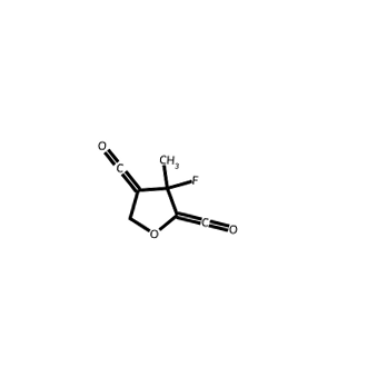 CC1(F)C(=C=O)COC1=C=O